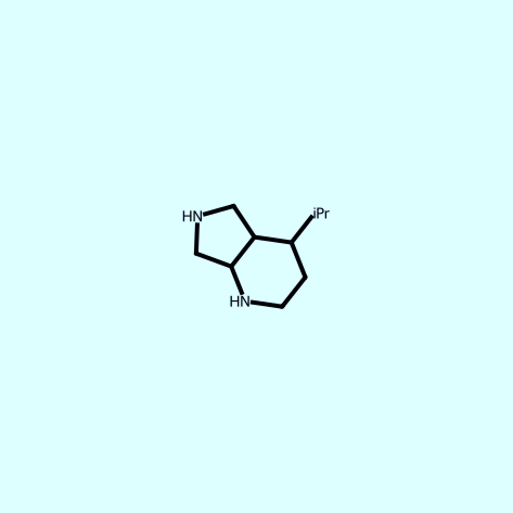 CC(C)C1CCNC2CNCC21